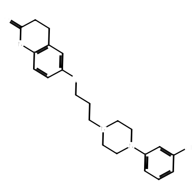 O=C1CCc2cc(OCCCN3CCN(c4cccc(Cl)c4)CC3)ccc2N1